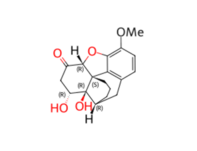 COc1ccc2c3c1O[C@H]1C(=O)C[C@@H](O)[C@@]4(O)[C@H](CCC[C@]314)C2